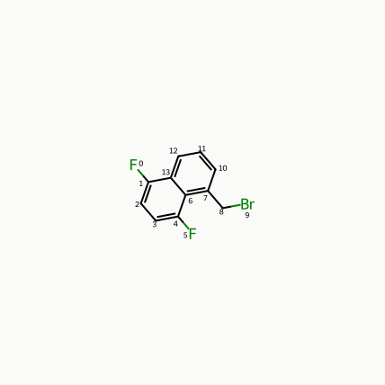 Fc1ccc(F)c2c(CBr)cccc12